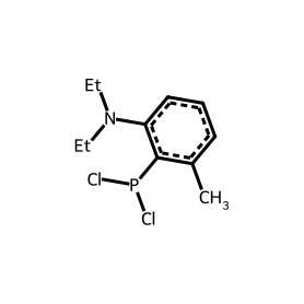 CCN(CC)c1cccc(C)c1P(Cl)Cl